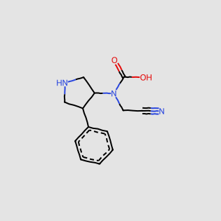 N#CCN(C(=O)O)C1CNCC1c1ccccc1